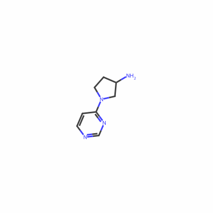 NC1CCN(c2ccncn2)C1